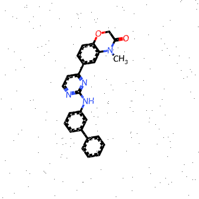 CN1C(=O)COc2ccc(-c3ccnc(Nc4cccc(-c5ccccc5)c4)n3)cc21